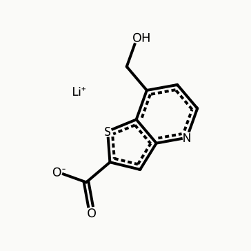 O=C([O-])c1cc2nccc(CO)c2s1.[Li+]